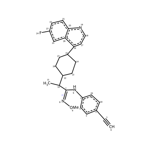 C#Cc1ccc(N/C(=N\OC)C(C)C2CCC(c3ccnc4ccc(F)cc34)CC2)cc1